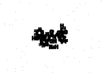 CS(=O)(=O)c1cc(F)ccc1CNC(=O)c1nc(N2CCCCS2(O)O)c2cccnc2c1O.[NaH]